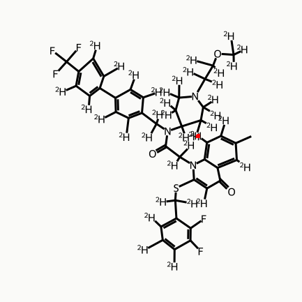 [2H]c1c([2H])c(F)c(F)c(C([2H])([2H])Sc2c([2H])c(=O)c3c([2H])c(C)c([2H])c([2H])c3n2C([2H])([2H])C(=O)N(C([2H])([2H])c2c([2H])c([2H])c(-c3c([2H])c([2H])c(C(F)(F)F)c([2H])c3[2H])c([2H])c2[2H])C2([2H])C([2H])([2H])C([2H])([2H])N(C([2H])([2H])C([2H])([2H])OC([2H])([2H])[2H])C([2H])([2H])C2([2H])[2H])c1[2H]